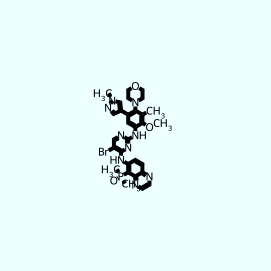 COc1c(Nc2ncc(Br)c(Nc3ccc4nccnc4c3P(C)(C)=O)n2)cc(-c2cnn(C)c2)c(N2CCOCC2)c1C